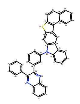 c1ccc(-c2nc3ccccc3nc2-c2cccc(-n3c4ccccc4c4cc5c(cc43)sc3ccc4ccccc4c35)c2)cc1